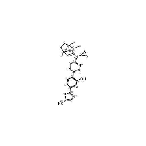 C[C@@]12CC[C@@](C)(N1)[C@@H](F)[C@@H](N(c1cnc(-c3ccc(-c4ncc(C#N)s4)cc3O)nn1)C1CC1)C2